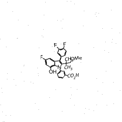 COCC(C)(C)c1c(-c2ccc(F)c(F)c2)c2cc(F)cc(O)c2n1-c1cccc(C(=O)O)c1